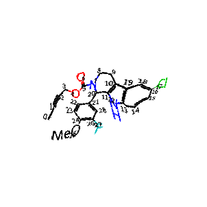 CC#CCOC(=O)N1CCc2c([nH]c3ccc(Cl)cc23)C1c1ccc(OC)c(F)c1